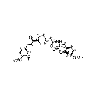 CCOc1ccc(CCC(=O)N2CCC(CC(=O)N[C@@H](Cc3ccc(OC)cc3)C(=O)OC)CC2)cc1F